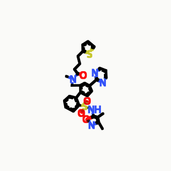 Cc1noc(NS(=O)(=O)c2ccccc2-c2ccc(-c3ncccn3)cc2CN(C)C(=O)CCCc2cccs2)c1C